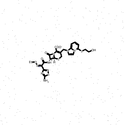 CCO/N=C(\C(=O)N[C@@H]1C(=O)N2C(C(=O)[O-])=C(Cn3cc[n+]4c(SCCO)cccc34)CS[C@@H]12)c1nsc(N)n1